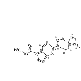 COC(=O)c1onc2cc(B3OCC(C)(C)CO3)ccc12